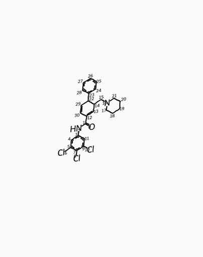 O=C(Nc1cc(Cl)c(Cl)c(Cl)c1)C1=CC(CN2CCCCC2)C(c2ccccc2)C=C1